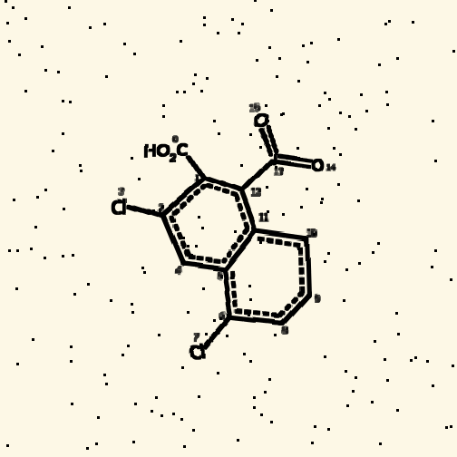 O=C(O)c1c(Cl)cc2c(Cl)cccc2c1I(=O)=O